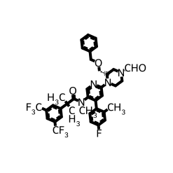 Cc1cc(F)ccc1-c1cc(N2CCN(C=O)C[C@H]2COCc2ccccc2)ncc1N(C)C(=O)C(C)(C)c1cc(C(F)(F)F)cc(C(F)(F)F)c1